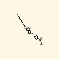 CCCCCCCCCCOc1ccc2cc(CCc3ccc(C(=O)OCC(C)C)cc3)ccc2c1